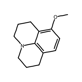 COc1ccc2c3c1CCCN3CCC2